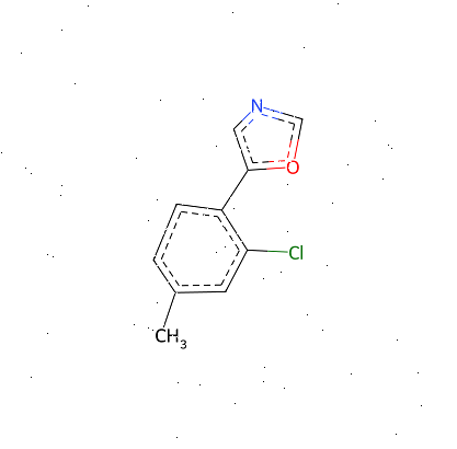 Cc1ccc(-c2cnco2)c(Cl)c1